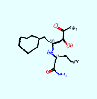 CCCC(=O)C(O)[C@H](CC1CCCCC1)N[C@@H](CC(C)C)C(N)=O